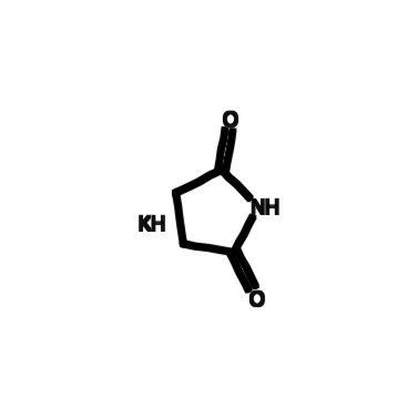 O=C1CCC(=O)N1.[KH]